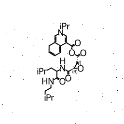 CC(C)CCNC(=O)C(CC(C)C)NC(=O)[C@@H]1O[C@H]1C(=O)OC(=O)C1=CN(C(C)C)C=C2CC=CC=C21